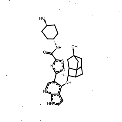 O=C(N[C@H]1CC[C@H](O)CC1)c1noc(-c2cnc3[nH]ccc3c2N[C@H]2C3CC4CC2C[C@@](O)(C4)C3)n1